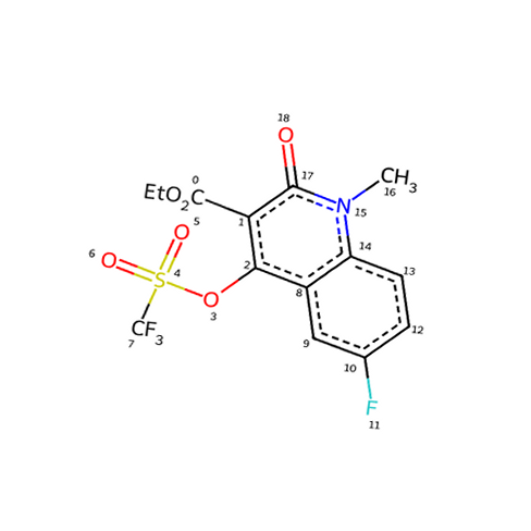 CCOC(=O)c1c(OS(=O)(=O)C(F)(F)F)c2cc(F)ccc2n(C)c1=O